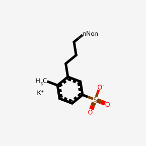 CCCCCCCCCCCCc1cc(S(=O)(=O)[O-])ccc1C.[K+]